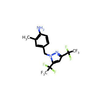 Cc1cc(Cn2nc(C(F)(F)C(F)(F)F)cc2C(F)(F)C(F)(F)F)ccc1N